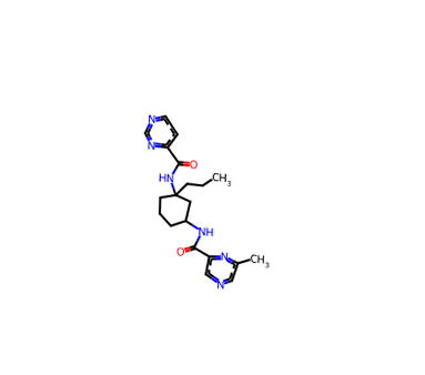 CCCC1(NC(=O)c2ccncn2)CCCC(NC(=O)c2cncc(C)n2)C1